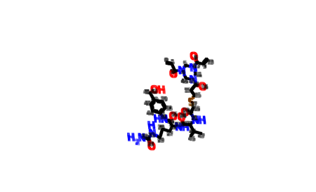 C=CC(=O)N1CN(C(=O)C=C)CN(C(=O)CCSCC(=O)N[C@H](C(=O)N[C@@H](CCCNC(N)=O)C(=O)Nc2ccc(CO)cc2)C(C)C)C1